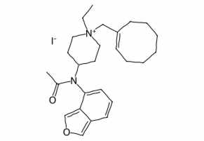 CC[N+]1(CC2=CCCCCCC2)CCC(N(C(C)=O)c2cccc3cocc23)CC1.[I-]